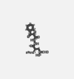 CCCCC[C@H](CN(O)C=O)C(=O)NNC(=O)C1Oc2ccccc2C1=O